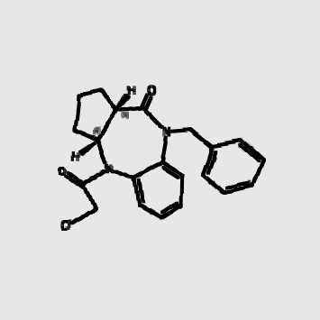 O=C1[C@H]2CCC[C@H]2N(C(=O)CCl)c2ccccc2N1Cc1ccccc1